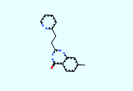 O=C(O)c1ccc2c(=O)[nH]c(CCc3ccccn3)nc2c1